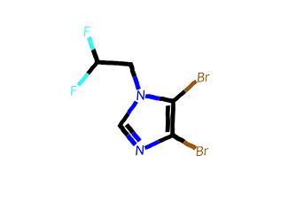 FC(F)Cn1cnc(Br)c1Br